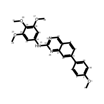 COc1ccc(-c2ccc3cnc(Nc4cc(OC)c(OC)c(OC)c4)nc3c2)cc1